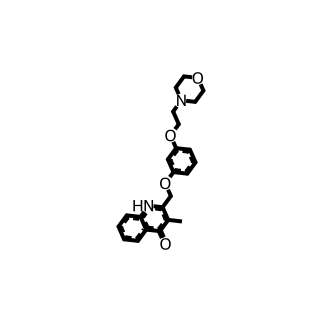 Cc1c(COc2cccc(OCCN3CCOCC3)c2)[nH]c2ccccc2c1=O